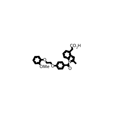 COc1ccccc1OCCOc1ccc(C(=O)n2c(C)cc3c(CC(=O)O)cccc32)cc1